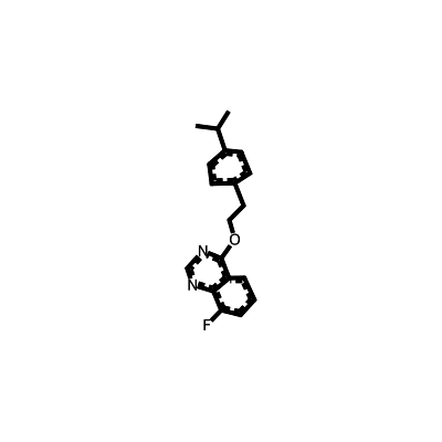 CC(C)c1ccc(CCOc2ncnc3c(F)cccc23)cc1